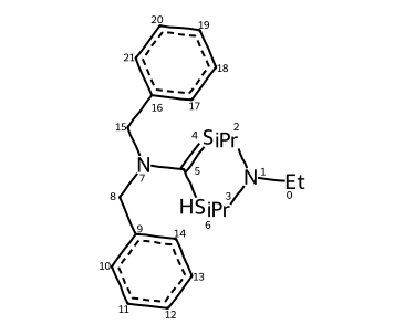 CCN(C(C)C)C(C)C.S=C(S)N(Cc1ccccc1)Cc1ccccc1